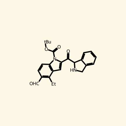 CCc1c(C=O)ccc2c1cc(C(=O)C1NCc3ccccc31)n2C(=O)OC(C)(C)C